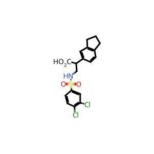 O=C(O)C(CNS(=O)(=O)c1ccc(Cl)c(Cl)c1)c1ccc2c(c1)CCC2